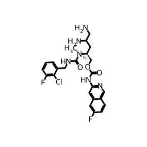 CN(C(=O)NCc1cccc(F)c1Cl)[C@H](COC(=O)Nc1cc2cc(F)ccc2cn1)CC(N)CN